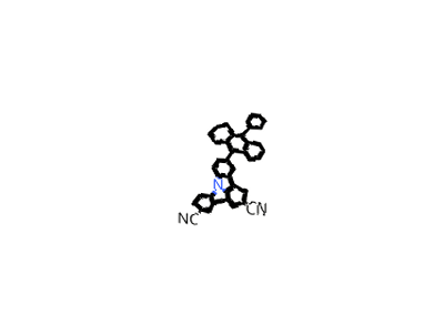 N#Cc1ccc2c(c1)c1cc(C#N)cc3c4cc(-c5c6ccccc6c(-c6ccccc6)c6ccccc56)ccc4n2c13